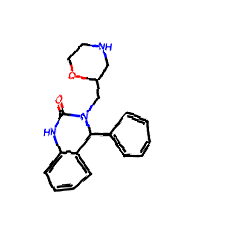 O=C1Nc2ccccc2C(c2ccccc2)N1CC1CNCCO1